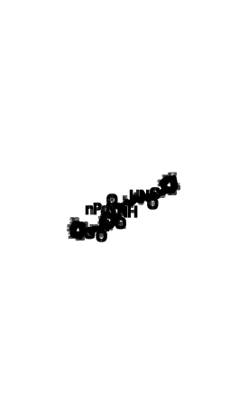 CCCN1C(=O)[C@H](CCCCNC(=O)OCc2ccccc2)NC(=O)C12CCN(C(=O)COc1ccccc1)CC2